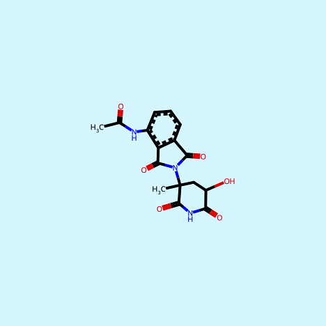 CC(=O)Nc1cccc2c1C(=O)N(C1(C)CC(O)C(=O)NC1=O)C2=O